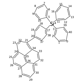 c1ccc([Si](c2ccccc2)(c2ccccc2)c2ccc(-c3ccc4ccc5cccc6ccc3c4c56)cc2)cc1